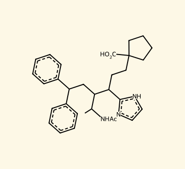 CC(=O)NC(C)C(CC(c1ccccc1)c1ccccc1)C(CCC1(C(=O)O)CCCC1)c1ncc[nH]1